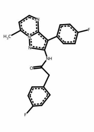 Cc1ccnc2c(-c3ccc(F)cc3)c(NC(=O)Cc3ccc(F)cc3)nn12